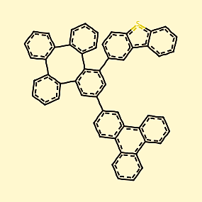 c1ccc2c(c1)-c1ccccc1-c1cc(-c3ccc4c5ccccc5c5ccccc5c4c3)cc(-c3ccc4sc5ccccc5c4c3)c1-c1ccccc1-2